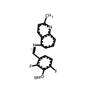 COc1c(F)ccc(/C=N\c2cccc3nc(C)ccc23)c1F